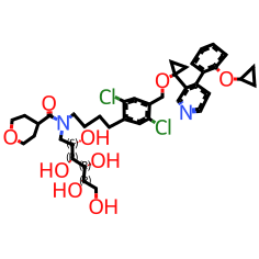 O=C(C1CCOCC1)N(CCCCc1cc(Cl)c(COC2(c3cnccc3-c3ccccc3OC3CC3)CC2)cc1Cl)C[C@H](O)[C@@H](O)[C@H](O)[C@H](O)CO